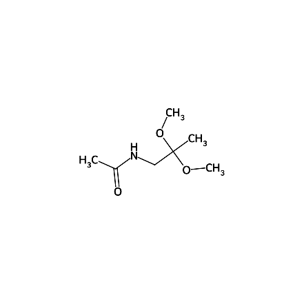 COC(C)(CNC(C)=O)OC